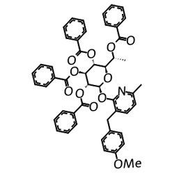 COc1ccc(Cc2ccc(C)nc2O[C@@H]2O[C@H]([C@@H](C)OC(=O)c3ccccc3)[C@@H](OC(=O)c3ccccc3)[C@H](OC(=O)c3ccccc3)[C@H]2OC(=O)c2ccccc2)cc1